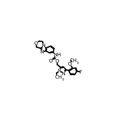 CCn1nc(-c2ccc(F)cc2OC)cc1COC(=O)Nc1ccc2c(c1)nc1n2CCOC1